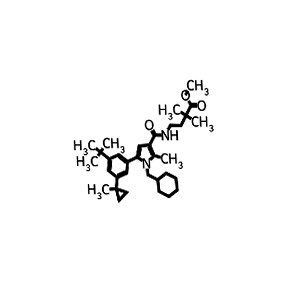 COC(=O)C(C)(C)CCNC(=O)c1cc(-c2cc(C(C)(C)C)cc(C3(C)CC3)c2)n(CC2CCCCC2)c1C